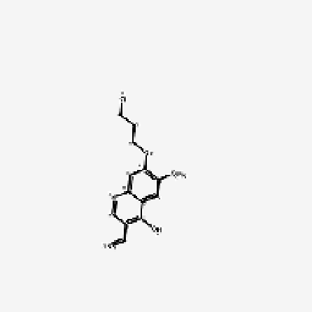 COc1cc2c(O)c(C=N)cnc2cc1OCCCCl